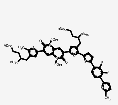 CCCCCCCCCCCCC(CCCCCCCCCC)Cc1cc(-c2cc3c(cc(-c4cc(CC(CCCCCCCCCC)CCCCCCCCCCCC)c(-c5ccc(-c6ccc(-c7ccc(C)s7)c(F)c6F)s5)s4)c(=O)n3CCCCCCCC)n(CCCCCCCC)c2=O)sc1C